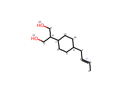 C/C=C/CC1CCC(C(CO)CO)CC1